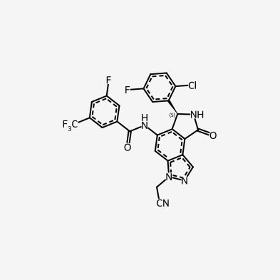 N#CCn1ncc2c3c(c(NC(=O)c4cc(F)cc(C(F)(F)F)c4)cc21)[C@@H](c1cc(F)ccc1Cl)NC3=O